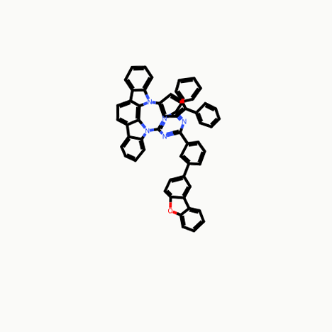 c1ccc(-c2ccc(-n3c4ccccc4c4ccc5c6ccccc6n(-c6nc(-c7ccccc7)nc(-c7cccc(-c8ccc9oc%10ccccc%10c9c8)c7)n6)c5c43)cc2)cc1